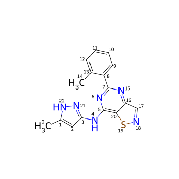 Cc1cc(Nc2nc(-c3ccccc3C)nc3cnsc23)n[nH]1